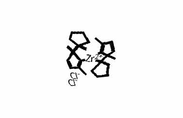 CC1=[C]([Zr+2][C]2=C(C)C=CC2(C)C2(C)CCCC2)C(C)(C2(C)CCCC2)C=C1.[Cl-].[Cl-]